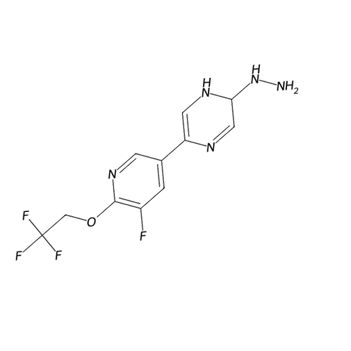 NNC1C=NC(c2cnc(OCC(F)(F)F)c(F)c2)=CN1